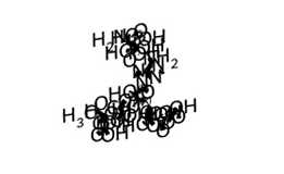 CC(=O)C(O)O.CC(=O)C(O)OP(=O)(O)O.NCCC(O)(P(=O)(O)O)P(=O)(O)O.Nc1ncnc2c1ncn2[C@@H]1O[C@H](COP(=O)(O)OP(=O)(O)OP(=O)(O)O)[C@@H](O)[C@H]1O